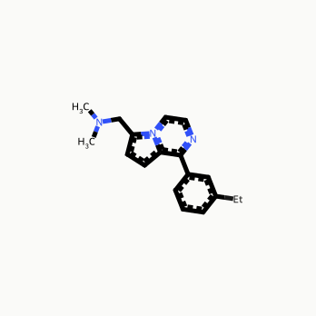 CCc1cccc(-c2nccn3c(CN(C)C)ccc23)c1